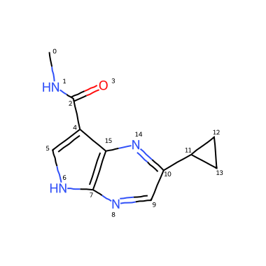 CNC(=O)c1c[nH]c2ncc(C3CC3)nc12